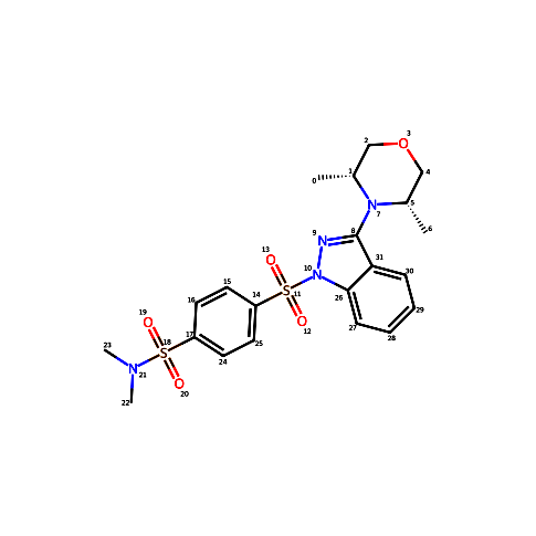 C[C@@H]1COC[C@H](C)N1c1nn(S(=O)(=O)c2ccc(S(=O)(=O)N(C)C)cc2)c2ccccc12